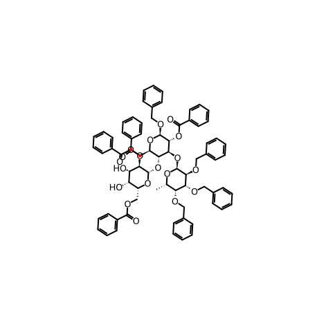 C[C@@H]1O[C@@H](O[C@@H]2[C@@H](OC(=O)c3ccccc3)[C@H](OCc3ccccc3)O[C@H](COC(=O)c3ccccc3)[C@H]2O[C@@H]2O[C@H](COC(=O)c3ccccc3)[C@H](O)[C@H](O)[C@H]2OC(=O)c2ccccc2)[C@@H](OCc2ccccc2)[C@H](OCc2ccccc2)[C@@H]1OCc1ccccc1